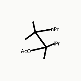 CCCC(C)(C)C(C)(OC(C)=O)C(C)C